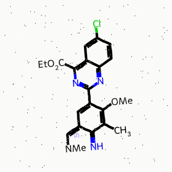 CCOC(=O)c1nc(C2=C/C(=C/NC)C(=N)C(C)=C2OC)nc2ccc(Cl)cc12